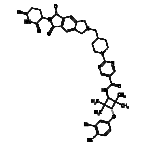 CCc1cc(O[C@H]2C(C)(C)[C@H](NC(=O)c3cnc(N4CCC(CN5Cc6cc7c(cc6C5)C(=O)N(C5CCC(=O)NC5=O)C7=O)CC4)pc3)C2(C)C)ccc1C#N